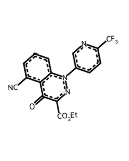 CCOC(=O)c1nn(-c2ccc(C(F)(F)F)nc2)c2cccc(C#N)c2c1=O